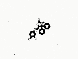 CN1C(=O)OC(COc2ccc(Cl)c(Cl)c2)C1(c1ccccc1)c1ccccc1